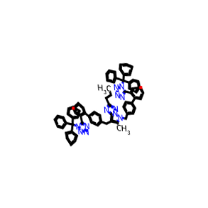 CCCc1nc2c(Cc3ccc(-c4ccccc4-c4nnnn4C(c4ccccc4)(c4ccccc4)c4ccccc4)cc3)c(C)n(Cc3ccc(-c4ccccc4-c4nnnn4C(c4ccccc4)(c4ccccc4)c4ccccc4)cc3)n2n1